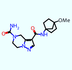 COC12CCC(NC(=O)c3cnn4c3CN(C(N)=O)CC4)(CC1)C2